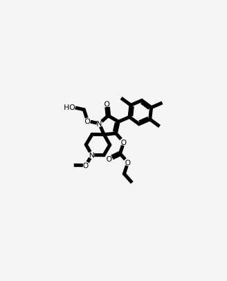 CCOC(=O)OC1=C(c2cc(C)c(C)cc2C)C(=O)N(OCO)C12CCN(OC)CC2